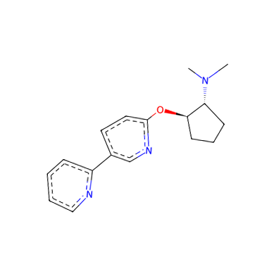 CN(C)[C@@H]1CCC[C@H]1Oc1ccc(-c2ccccn2)cn1